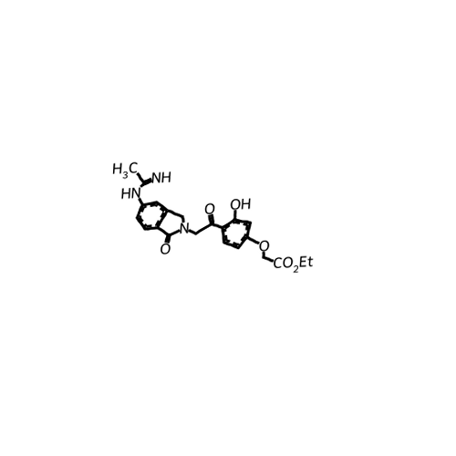 CCOC(=O)COc1ccc(C(=O)CN2Cc3cc(NC(C)=N)ccc3C2=O)c(O)c1